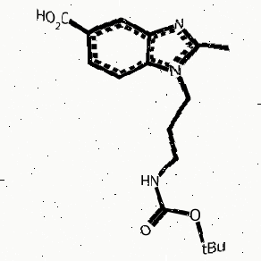 Cc1nc2cc(C(=O)O)ccc2n1CCCNC(=O)OC(C)(C)C